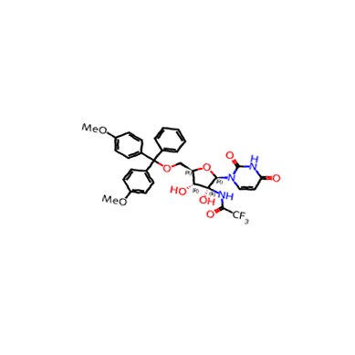 COc1ccc(C(OC[C@H]2O[C@@H](n3ccc(=O)[nH]c3=O)[C@@](O)(NC(=O)C(F)(F)F)[C@@H]2O)(c2ccccc2)c2ccc(OC)cc2)cc1